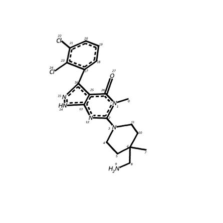 Cn1c(N2CCC(C)(CN)CC2)nc2[nH]nc(-c3cccc(Cl)c3Cl)c2c1=O